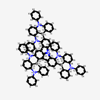 c1ccc(N2c3ccccc3B3c4c2cccc4N(c2ccccc2)c2cc4c5c6c(ccc5n5c7c8c(ccc7c(c23)c45)B2c3ccccc3N(c3ccccc3)c3cccc(c32)N8c2ccccc2)B2c3ccccc3N(c3ccccc3)c3cccc(c32)N6c2ccccc2)cc1